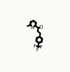 Cc1cccc(C(=O)CCc2ccc(C(F)(F)F)cc2)n1